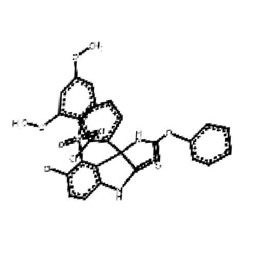 COc1ccc(S(=O)(=O)c2c(Cl)ccc3c2C(NC(=O)Oc2ccccc2)(c2ccccc2Cl)C(=O)N3)c(OC)c1